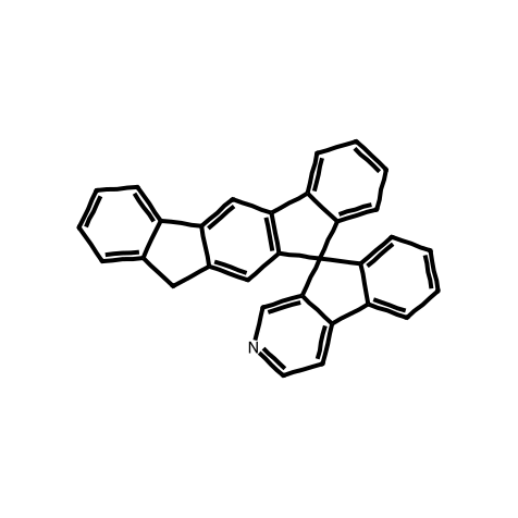 c1ccc2c(c1)Cc1cc3c(cc1-2)-c1ccccc1C31c2ccccc2-c2ccncc21